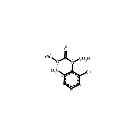 CC(C)(C)OC(=O)N(C(=O)O)c1c(Cl)cccc1[N+](=O)[O-]